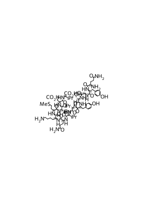 CC[C@H](C)[C@H](NC(=O)[C@H](CCSC)NC(=O)[C@H](CCCCN)NC(=O)[C@H](CCC(N)=O)NC(=O)[C@@H](NC(=O)[C@@H](NC(=O)[C@H](Cc1ccc(O)cc1)NC(=O)[C@H](CO)NC(=O)[C@H](C)NC(=O)[C@H](Cc1ccc(O)cc1)NC(=O)[C@@H](N)CCC(N)=O)C(C)C)C(C)C)C(=O)N[C@@H](CC(=O)O)C(=O)N[C@H](C(=O)O)C(C)C